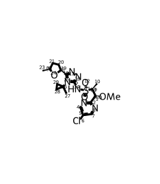 CO[C@H](c1ncc(Cl)cn1)[C@H](C)S(=O)(=O)Nc1nnc([C@@H]2CC[C@H](C)O2)n1C1(C)CC1